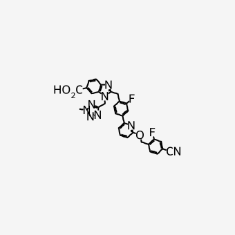 Cn1nnc(Cn2c(Cc3ccc(-c4cccc(OCc5ccc(C#N)cc5F)n4)cc3F)nc3ccc(C(=O)O)cc32)n1